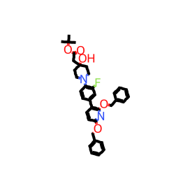 CC(C)(C)OC(=O)CC1(O)CCN(c2ccc(-c3ccc(OCc4ccccc4)nc3OCc3ccccc3)cc2F)CC1